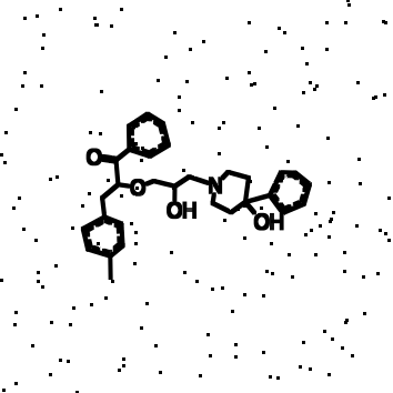 Cc1ccc(CC(OCC(O)CN2CCC(O)(c3ccccc3)CC2)C(=O)c2ccccc2)cc1